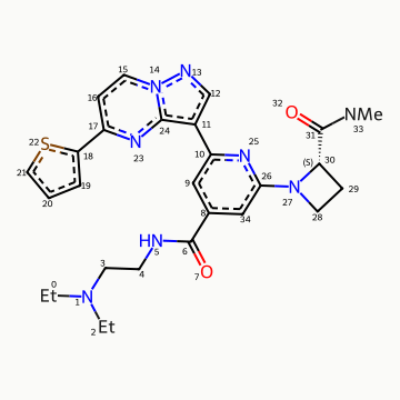 CCN(CC)CCNC(=O)c1cc(-c2cnn3ccc(-c4cccs4)nc23)nc(N2CC[C@H]2C(=O)NC)c1